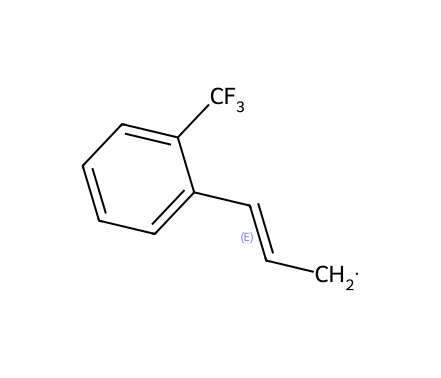 [CH2]/C=C/c1ccccc1C(F)(F)F